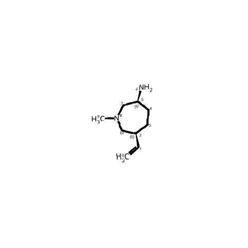 C=C[C@@H]1CC[C@H](N)CN(C)C1